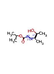 C/C(O)=C(C)/N=N/C(=O)OC(C)C